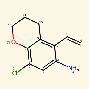 C=Cc1c(N)cc(Cl)c2c1CCCO2